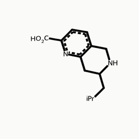 CC(C)CC1Cc2nc(C(=O)O)ccc2CN1